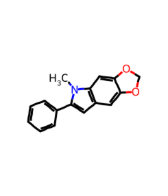 Cn1c(-c2ccccc2)cc2cc3c(cc21)OCO3